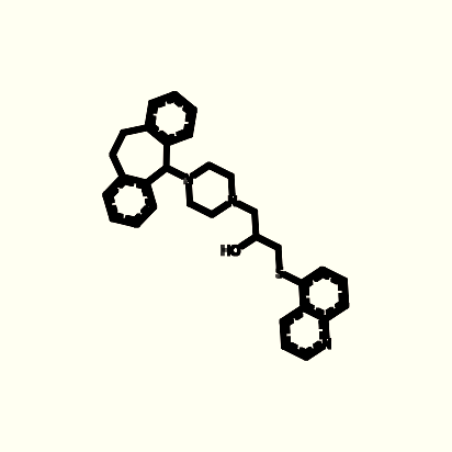 OC(CSc1cccc2ncccc12)CN1CCN(C2c3ccccc3CCc3ccccc32)CC1